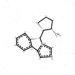 C[C@H]1CCC[C@H]1[C@H]1c2ccccc2-c2cncn21